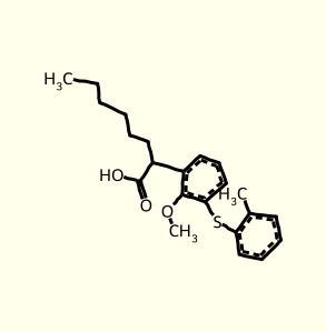 CCCCCCC(C(=O)O)c1cccc(Sc2ccccc2C)c1OC